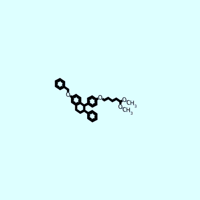 COC(CCCCOc1ccc(C2c3ccc(OCc4ccccc4)cc3CCC2c2ccccc2)cc1)OC